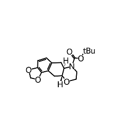 CC(C)(C)OC(=O)N1CCO[C@@H]2Cc3c(ccc4c3OCO4)C[C@H]21